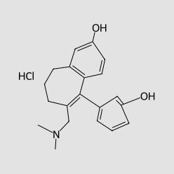 CN(C)CC1=C(c2cccc(O)c2)c2ccc(O)cc2CCC1.Cl